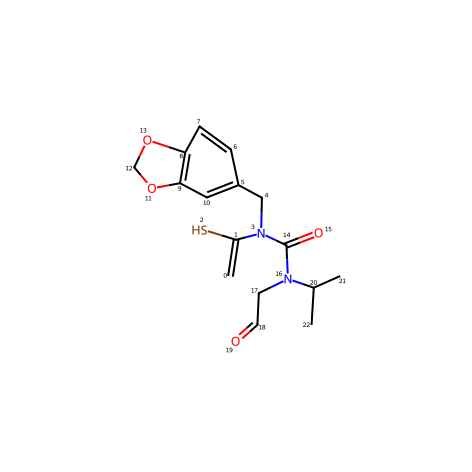 C=C(S)N(Cc1ccc2c(c1)OCO2)C(=O)N(CC=O)C(C)C